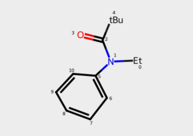 CCN(C(=O)C(C)(C)C)c1ccccc1